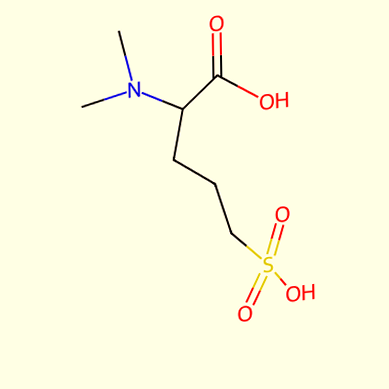 CN(C)C(CCCS(=O)(=O)O)C(=O)O